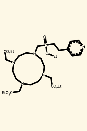 CCOC(=O)CN1CCN(CC(=O)OCC)CCN(CP(=O)(CCc2ccncc2)OCC)CCN(CC(=O)OCC)CC1